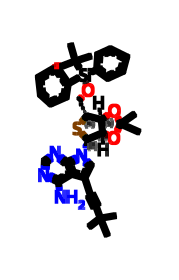 CC(C)(C)C#Cc1cn([C@@H]2S[C@H](CO[Si](c3ccccc3)(c3ccccc3)C(C)(C)C)[C@H]3OC(C)(C)O[C@H]32)c2ncnc(N)c12